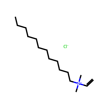 C=C[N+](C)(C)CCCCCCCCCCCC.[Cl-]